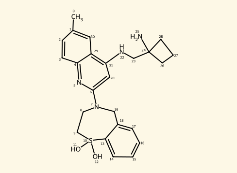 Cc1ccc2nc(N3CCS(O)(O)c4ccccc4C3)cc(NCC3(N)CCC3)c2c1